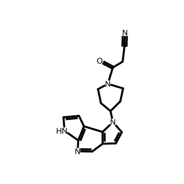 N#CCC(=O)N1CCC(n2ccc3cnc4[nH]ccc4c32)CC1